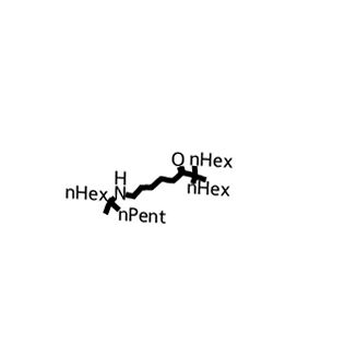 CCCCCCC(C)(CCCCC)NCCCCCC(=O)C(C)(CCCCCC)CCCCCC